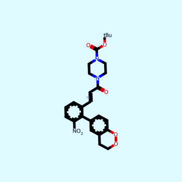 CC(C)(C)OC(=O)N1CCN(C(=O)/C=C/c2cc[c]c([N+](=O)[O-])c2-c2ccc3c(c2)CCOO3)CC1